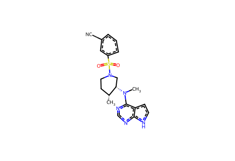 C[C@@H]1CCN(S(=O)(=O)c2cccc(C#N)c2)C[C@@H]1N(C)c1ncnc2[nH]ccc12